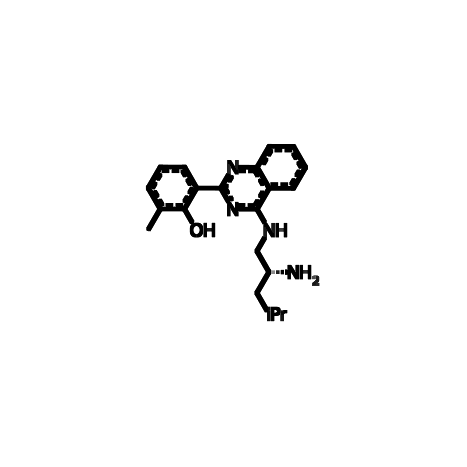 Cc1cccc(-c2nc(NC[C@H](N)CC(C)C)c3ccccc3n2)c1O